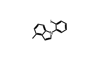 Cc1cccc2c1ccn2-c1ccccc1I